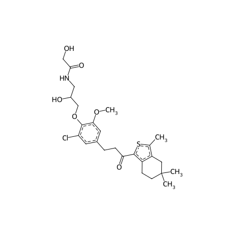 COc1cc(CCC(=O)c2sc(C)c3c2CCC(C)(C)C3)cc(Cl)c1OCC(O)CNC(=O)CO